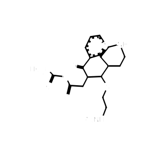 CC(=O)NCCSC(C1CCNCC1)C(CC(=O)OC(=O)C(=O)O)C(=O)c1cccnc1